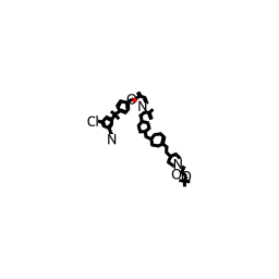 C=C(/C=C\N=C(\CC1CCC(CC2CCC=C(CCC3CCN(CC(=O)OC(C)(C)C)CC3)CC2)CC1)C(=C)C)COc1ccc(C(C)(C)c2cc(Cl)cc(C#N)c2)cc1